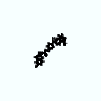 O=C(CO[C@H]1CC[C@H](Nc2ccc([N+](=O)[O-])c(C(F)(F)F)c2)CC1)Nc1ccc2cc(F)ccc2n1